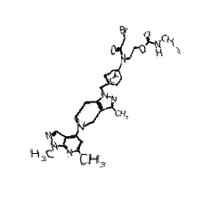 CNC(=O)OCCN(C(=O)CBr)C12CCC(Cn3nc(C)c4c3CCN(c3cc(C)nc5c3cnn5C)C4)(CC1)CC2